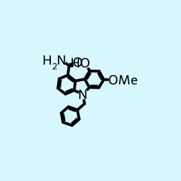 COc1cc(O)c2c3c(C(N)=O)cccc3n(Cc3ccccc3)c2c1